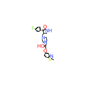 Cc1nc2cc(OC[C@H](O)CN3CCN(CC4CNC(=O)[C@H]4c4ccc(F)cc4)CC3)ccc2s1